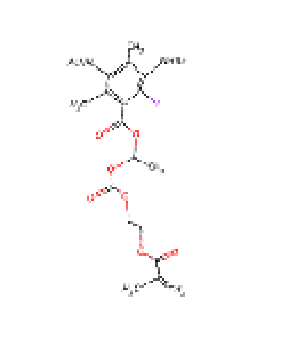 C=C(C)C(=O)OCCOC(=O)OC(C)OC(=O)c1c(C)c(NC(C)=O)c(C)c(NC(C)=O)c1I